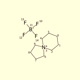 C1CC[N+]2(CC1)CCCC2.F[B-](F)(F)F